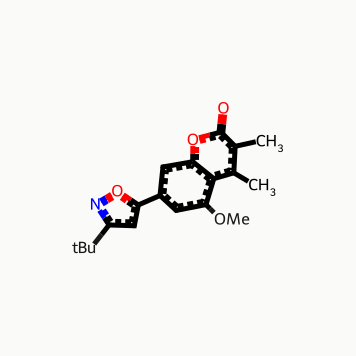 COc1cc(-c2cc(C(C)(C)C)no2)cc2oc(=O)c(C)c(C)c12